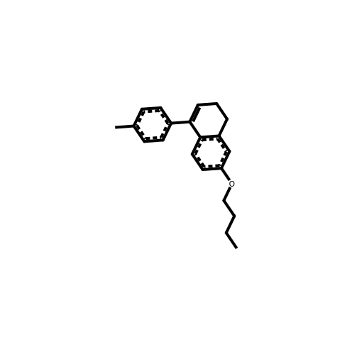 CCCCOc1ccc2c(c1)CCC=C2c1ccc(C)cc1